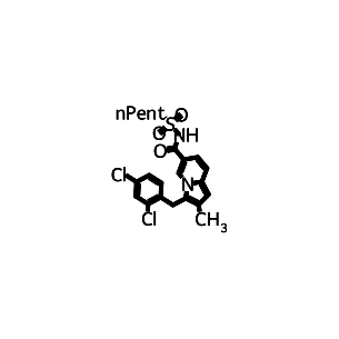 CCCCCS(=O)(=O)NC(=O)c1ccc2cc(C)c(Cc3ccc(Cl)cc3Cl)n2c1